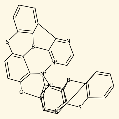 c1cc2c3c(c1)-c1ncc[n+]4c1B3c1c(ccc3c1[N+]41c4c(ccc5c4B4c6c(cccc6-c6ncc[n+]1c64)S5)O3)S2